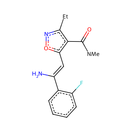 CCc1noc(C=C(N)c2ccccc2F)c1C(=O)NC